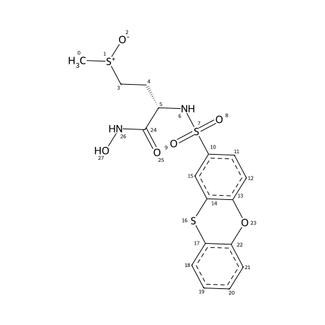 C[S+]([O-])CC[C@H](NS(=O)(=O)c1ccc2c(c1)Sc1ccccc1O2)C(=O)NO